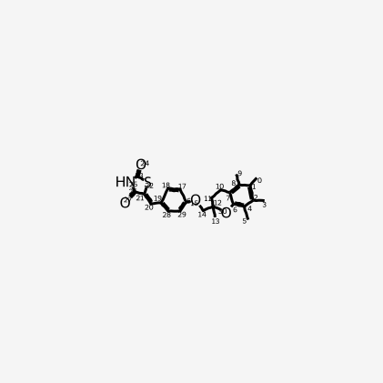 Cc1c(C)c(C)c2c(c1C)CCC(C)(COc1ccc(/C=C3\SC(=O)NC3=O)cc1)O2